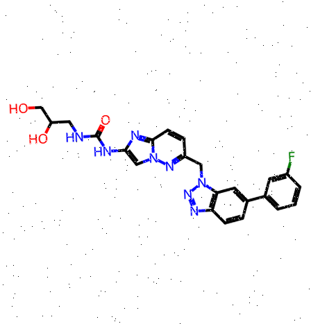 O=C(NCC(O)CO)Nc1cn2nc(Cn3nnc4ccc(-c5cccc(F)c5)cc43)ccc2n1